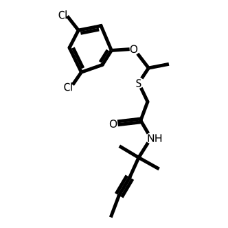 CC#CC(C)(C)NC(=O)CSC(C)Oc1cc(Cl)cc(Cl)c1